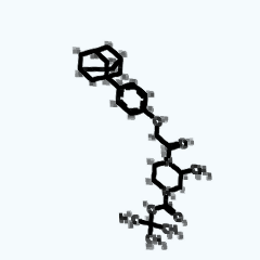 CC1CN(C(=O)OC(C)(C)C)CCN1C(=O)COc1ccc(C23CC4CC(CC(C4)C2)C3)cc1